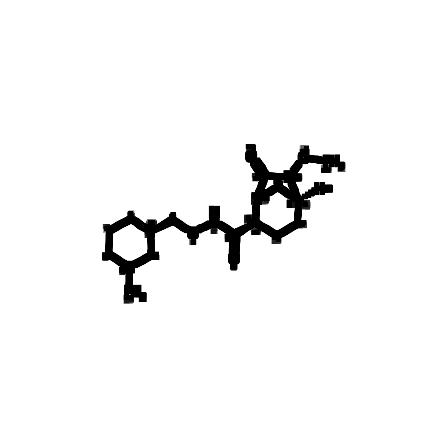 O=C(NOC[C@@H]1CCCN(P)C1)[C@@H]1CC[C@H]2CN1C(=O)N2OP